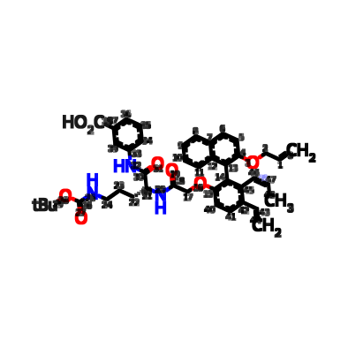 C=CCOc1ccc2ccccc2c1-c1c(OCC(=O)N[C@H](CCCNC(=O)OC(C)(C)C)C(=O)Nc2cccc(C(=O)O)c2)ccc(C=C)c1/C=C\C